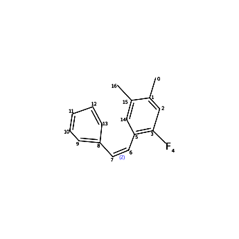 Cc1cc(F)c(/C=C\c2ccccc2)cc1C